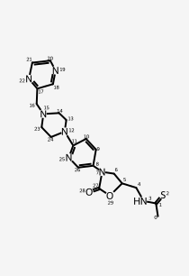 CC(=S)NCC1CN(c2ccc(N3CCN(Cc4cnccn4)CC3)nc2)C(=O)O1